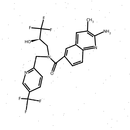 Cc1cc2cc(C(=O)N(Cc3ccc(C(F)(F)F)cn3)C[C@@H](O)C(F)(F)F)ccc2nc1N